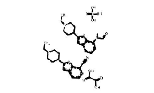 CCN1CCC(c2cc3cccc(C#N)c3s2)CC1.CCN1CCC(c2cc3cccc(NC=O)c3s2)CC1.O=C(O)C(=O)O.O=P(O)(O)O